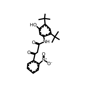 CC(C)(C)c1cc(C(C)(C)C)c(NC(=O)CC(=O)c2ccccc2[N+](=O)[O-])cc1O